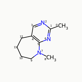 Cc1ncc2c(n1)N(C)CCCC2